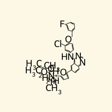 [2H]C([2H])(CC)N(C(=O)OC(C)(C)C)C([2H])([2H])c1ccc(-c2ccc3ncnc(Nc4ccc(OCc5cccc(F)c5)c(Cl)c4)c3c2)o1